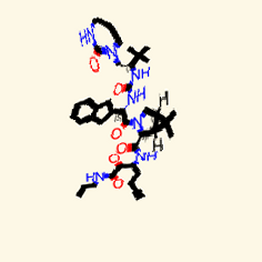 C#CCCC(NC(=O)[C@@H]1[C@@H]2[C@H](CN1C(=O)[C@@H](NC(=O)N[C@H](CN1CCCNC1=O)C(C)(C)C)C1Cc3ccccc3C1)C2(C)C)C(=O)C(=O)NCC=C